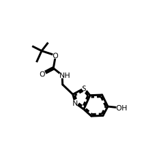 CC(C)(C)OC(=O)NCc1nc2ccc(O)cc2s1